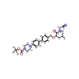 CC(C)CC(OCc1ccc(-c2ccc(N3CCN(C(=O)OC(C)(C)C)CC3)cc2)cc1)C(=O)NCC#N